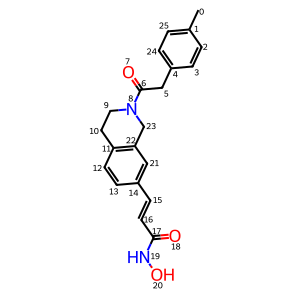 Cc1ccc(CC(=O)N2CCc3ccc(C=CC(=O)NO)cc3C2)cc1